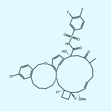 CO[C@H]1/C=C/CCN(C)C(=O)C[C@](O)(C(=O)NS(=O)(=O)c2ccc(F)c(F)c2)c2ccc3c(c2)N(CCCCc2cc(Cl)ccc2CO3)C[C@@H]2CC[C@H]21